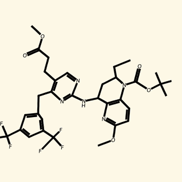 CCC1CC(Nc2ncc(CCC(=O)OC)c(Cc3cc(C(F)(F)F)cc(C(F)(F)F)c3)n2)c2nc(OC)ccc2N1C(=O)OC(C)(C)C